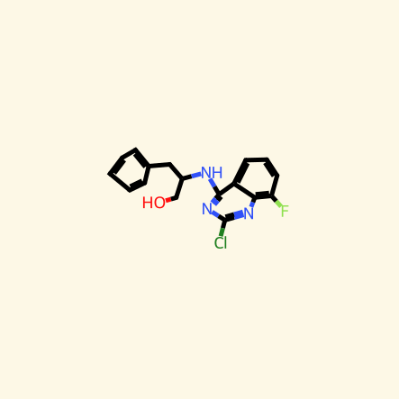 OCC(Cc1ccccc1)Nc1nc(Cl)nc2c(F)cccc12